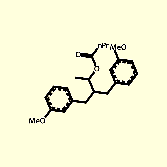 CCCC(=O)OC(C)C(Cc1cccc(OC)c1)Cc1cccc(OC)c1